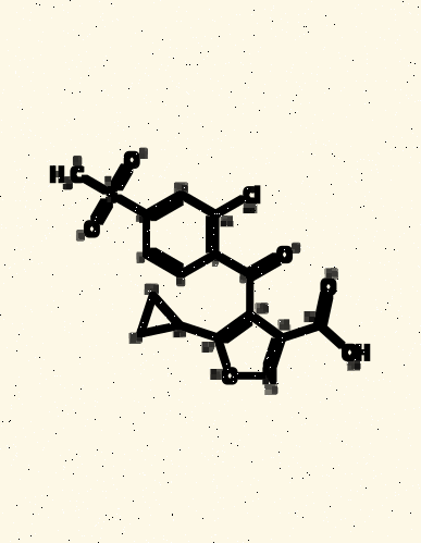 CS(=O)(=O)c1ccc(C(=O)c2c(C(=O)O)noc2C2CC2)c(Cl)c1